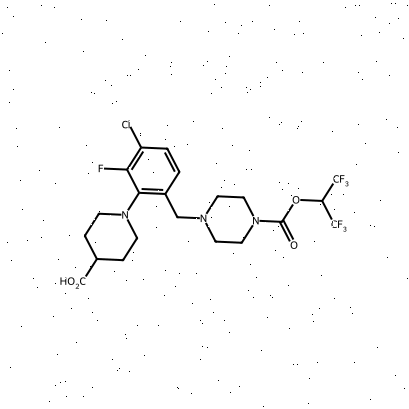 O=C(O)C1CCN(c2c(CN3CCN(C(=O)OC(C(F)(F)F)C(F)(F)F)CC3)ccc(Cl)c2F)CC1